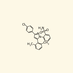 Cc1cccc(C)c1-c1cc(-c2ccc(Cl)cc2)nn1-c1ccccc1S(N)(=O)=O